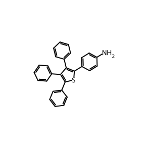 Nc1ccc(-c2sc(-c3ccccc3)c(-c3ccccc3)c2-c2ccccc2)cc1